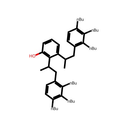 CCCCc1ccc(CC(C)c2cccc(O)c2C(C)Cc2ccc(CCCC)c(CCCC)c2CCCC)c(CCCC)c1CCCC